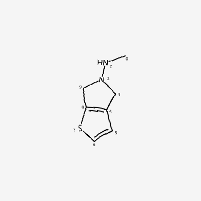 CNN1Cc2ccsc2C1